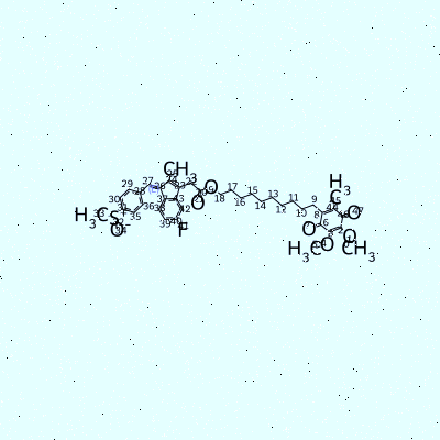 COC1=C(OC)C(=O)C(CCCCCCCCCCOC(=O)CC2=C(C)/C(=C/c3ccc([S+](C)[O-])cc3)c3ccc(F)cc32)=C(C)C1=O